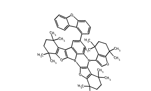 CC1(C)CCC(C)(C)c2c(N3c4cc(-c5cccc6oc7ccccc7c56)cc5c4B(c4oc6c(c4-5)C(C)(C)CCC6(C)C)c4oc5c(c43)C(C)(C)CCC5(C)C)coc21